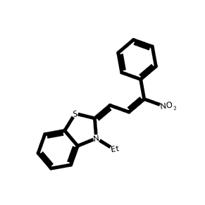 CCN1C(=CC=C(c2ccccc2)[N+](=O)[O-])Sc2ccccc21